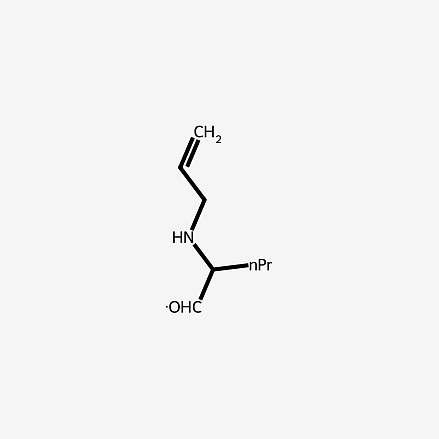 C=CCNC([C]=O)CCC